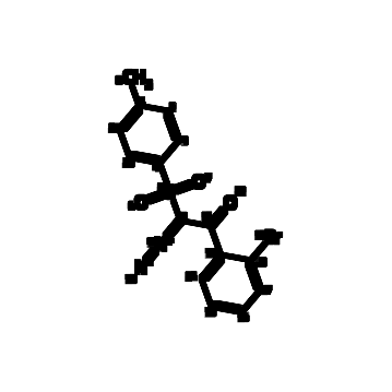 Cc1ccc(S(=O)(=O)C(=[N+]=[N-])C(=O)c2ccccc2Br)cc1